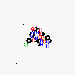 C=C[C@@H]1C[C@]1(NC(=O)[C@@H]1CN(C(=O)[C@@H](NC(=O)OC(C)(C)C)C(C)C)CCN1c1ccc(Cl)cc1)C(=O)NS(=O)(=O)c1cccc2cc[nH]c12